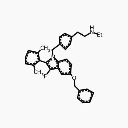 CCNCCc1ccc(Cn2c(-c3c(C)cccc3C)c(F)c3cc(OCc4ccccc4)ccc32)cc1